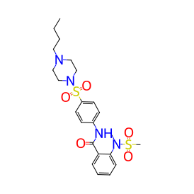 CCCCN1CCN(S(=O)(=O)c2ccc(NC(=O)c3ccccc3N(C)S(C)(=O)=O)cc2)CC1